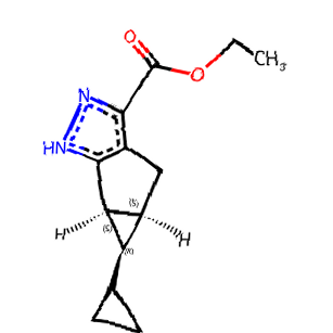 CCOC(=O)c1n[nH]c2c1C[C@@H]1[C@H]2[C@@H]1C1CC1